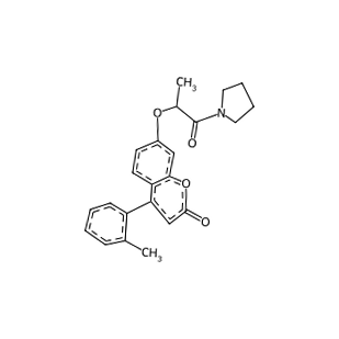 Cc1ccccc1-c1cc(=O)oc2cc(OC(C)C(=O)N3CCCC3)ccc12